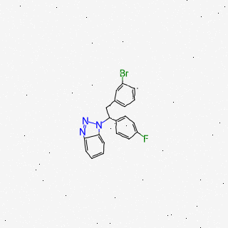 Fc1ccc(C(Cc2cc[c]c(Br)c2)n2nnc3ccccc32)cc1